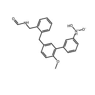 COc1ccc(Cc2ccccc2CNC=O)cc1-c1cccc([NH+]([O-])O)c1